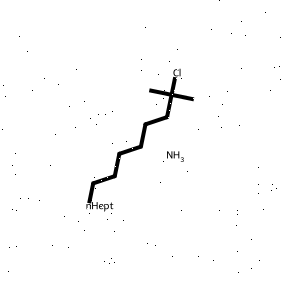 CCCCCCCCCCCCCC(C)(C)Cl.N